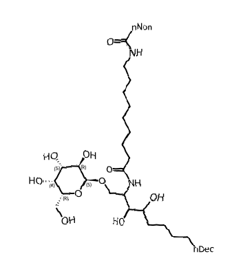 CCCCCCCCCCCCCCC(O)C(O)C(CO[C@H]1O[C@H](CO)[C@H](O)[C@H](O)[C@H]1O)NC(=O)CCCCCCCCNC(=O)CCCCCCCCC